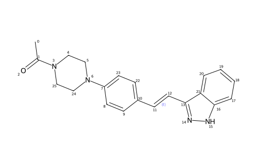 CC(=O)N1CCN(c2ccc(/C=C/c3n[nH]c4ccccc34)cc2)CC1